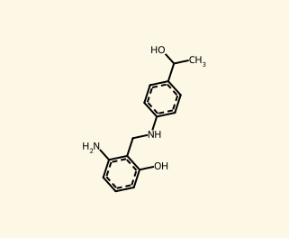 CC(O)c1ccc(NCc2c(N)cccc2O)cc1